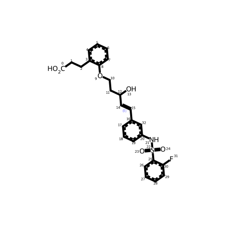 O=C(O)CCc1ccccc1OCCC(O)/C=C/c1cccc(NS(=O)(=O)c2ccccc2F)c1